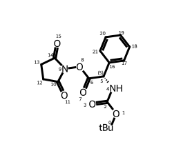 CC(C)(C)OC(=O)N[C@H](C(=O)ON1C(=O)CCC1=O)c1ccccc1